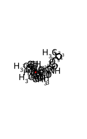 Cc1ccccc1COCc1cn([C@H]2C[C@@](O)([Si](C)(C)C(C)(C)C)[C@@H](CO[Si](C)(C)C(C)(C)C)O2)c(=O)[nH]c1=O